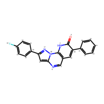 O=c1[nH]c2c(cnc3cc(-c4ccc(F)cc4)nn32)cc1-c1ccccc1